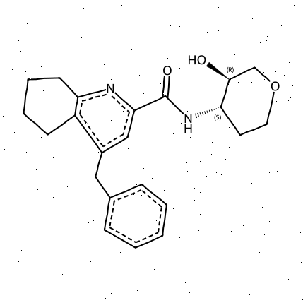 O=C(N[C@H]1CCOC[C@@H]1O)c1cc(Cc2ccccc2)c2c(n1)CCCC2